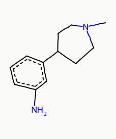 CN1CCC(c2cccc(N)c2)CC1